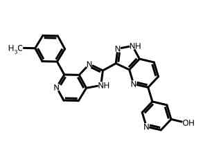 Cc1cccc(-c2nccc3[nH]c(-c4n[nH]c5ccc(-c6cncc(O)c6)nc45)nc23)c1